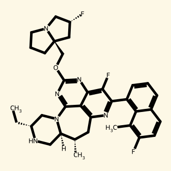 CC[C@@H]1CN2c3nc(OC[C@@]45CCCN4C[C@H](F)C5)nc4c(F)c(-c5cccc6ccc(F)c(C)c56)nc(c34)C[C@H](C)[C@H]2CN1